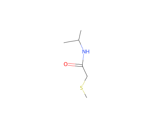 CSCC(=O)NC(C)C